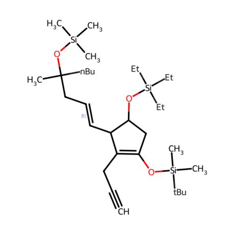 C#CCC1=C(O[Si](C)(C)C(C)(C)C)CC(O[Si](CC)(CC)CC)C1/C=C/CC(C)(CCCC)O[Si](C)(C)C